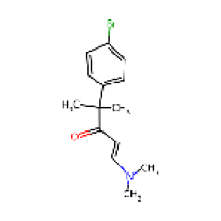 CN(C)C=CC(=O)C(C)(C)c1ccc(Br)cc1